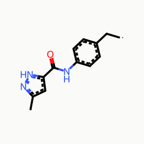 [CH2]Cc1ccc(NC(=O)c2cc(C)n[nH]2)cc1